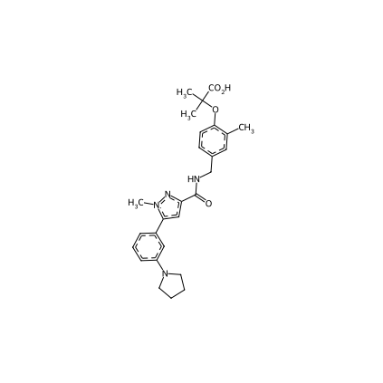 Cc1cc(CNC(=O)c2cc(-c3cccc(N4CCCC4)c3)n(C)n2)ccc1OC(C)(C)C(=O)O